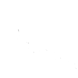 O=C(N[C@@H]1C[C@H]1c1ccccc1)c1cccc(Nc2ccc(-c3ccncc3)cc2)c1